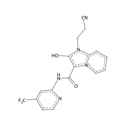 N#CCCn1c(O)c(C(=O)Nc2cc(C(F)(F)F)ccn2)[n+]2ccccc12